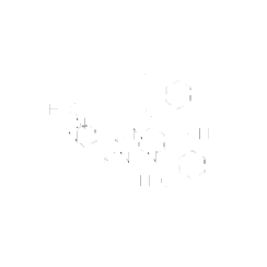 Cc1cccc(C)c1-c1cc(Oc2ccccc2Cl)nc(NS(=O)(=O)c2cnn(C)c2)n1